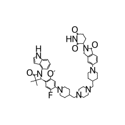 COc1cc(N2CCC(CN3CCN(CC4CCN(c5ccc6c(c5)CN(C5CCC(=O)NC5=O)C6=O)CC4)CC3)CC2)c(F)cc1[C@@H]1N(c2cccc3[nH]ccc23)C(=O)C1(C)C